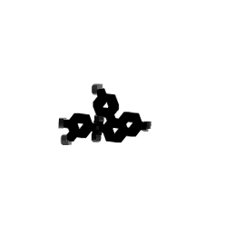 O=S(=O)(c1ccc(F)c(Cl)c1)c1ccc2cc(F)ccc2c1-c1ccc(Cl)cc1